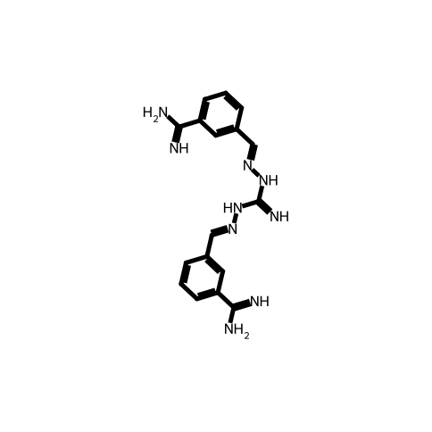 N=C(NN=Cc1cccc(C(=N)N)c1)NN=Cc1cccc(C(=N)N)c1